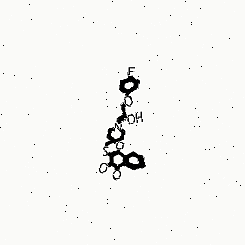 O=C1C(=O)c2ccccc2C2=C1SCC1(CCN(C[C@H](O)COc3ccc(F)cc3)CC1)O2